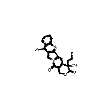 CCCc1c2c(nc3ccccc13)-c1cc3c(c(=O)n1C2)COC(=O)C3(O)CCF